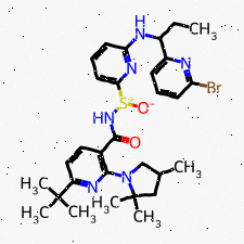 CCC(Nc1cccc([S+]([O-])NC(=O)c2ccc(C(C)(C)C)nc2N2CC(C)CC2(C)C)n1)c1cccc(Br)n1